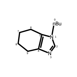 CCCCn1[c]nc2c1CCCC2